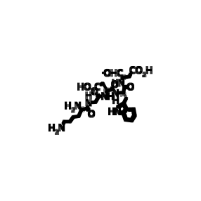 NCCCC[C@H](N)C(=O)NCC(=O)N[C@@H](CC(=O)O)C(=O)N[C@@H](Cc1c[nH]c2ccccc12)C(=O)N[C@H]([C]=O)CC(=O)O